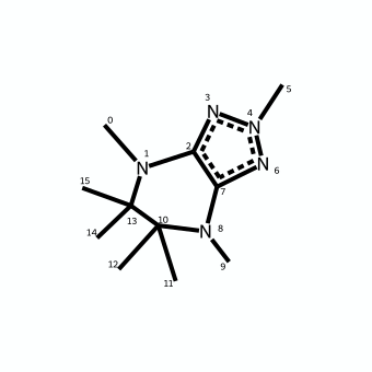 CN1c2nn(C)nc2N(C)C(C)(C)C1(C)C